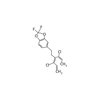 C=C/C(Cl)=C(CCc1ccc2c(c1)OC(F)(F)O2)\C(Cl)=C/C